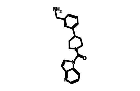 NCc1cccc(C2CCN(C(=O)n3ccc4ncccc43)CC2)c1